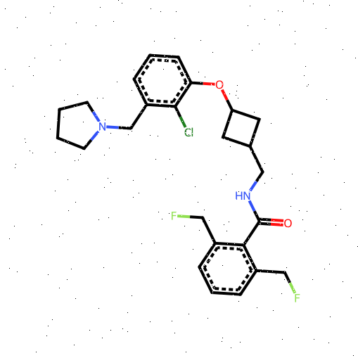 O=C(NCC1CC(Oc2cccc(CN3CCCC3)c2Cl)C1)c1c(CF)cccc1CF